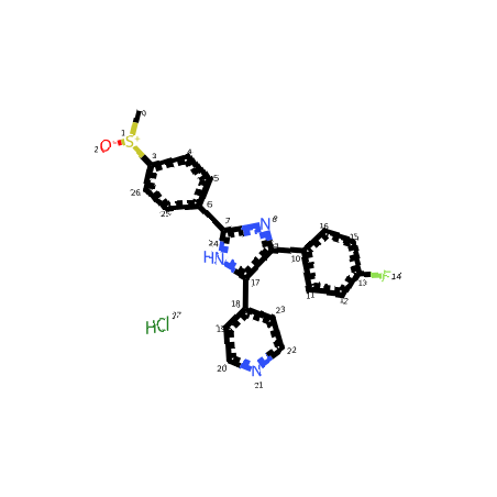 C[S+]([O-])c1ccc(-c2nc(-c3ccc(F)cc3)c(-c3ccncc3)[nH]2)cc1.Cl